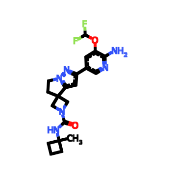 CC1(NC(=O)N2CC3(CCn4nc(-c5cnc(N)c(OC(F)F)c5)cc43)C2)CCC1